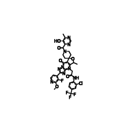 COc1nccc(-c2nc3n(CC(=O)Nc4ccc(C(F)(F)F)cc4Cl)c4c(c(=O)n3n2)C2(CCN(C(=O)c3ncnc(C)c3O)CC2)OC4C)c1F